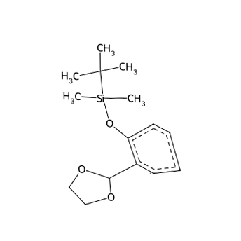 CC(C)(C)[Si](C)(C)Oc1ccc[c]c1C1OCCO1